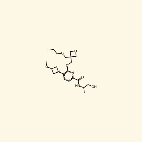 COC1CN(c2ccc(C(=O)NC(C)CO)nc2OCC2(COCCF)COC2)C1